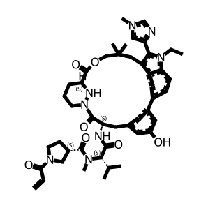 C=CC(=O)N1CC[C@H](C(=O)N(C)[C@H](C(=O)N[C@H]2Cc3cc(O)cc(c3)-c3ccc4c(c3)c(c(-c3cn(C)cn3)n4CC)CC(C)(C)COC(=O)[C@@H]3CCCN(N3)C2=O)C(C)C)C1